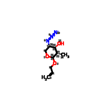 C=CCO[C@H]1OC[C@H](N=[N+]=[N-])[C@H](O)[C@@H]1C